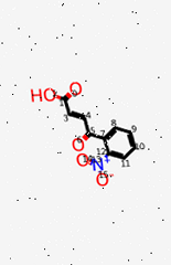 O=C(O)/C=C/C(=O)c1ccccc1[N+](=O)[O-]